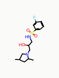 CC1CC(C)N(CC(O)CNS(=O)(=O)c2cccc(F)c2)C1